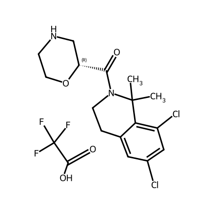 CC1(C)c2c(Cl)cc(Cl)cc2CCN1C(=O)[C@H]1CNCCO1.O=C(O)C(F)(F)F